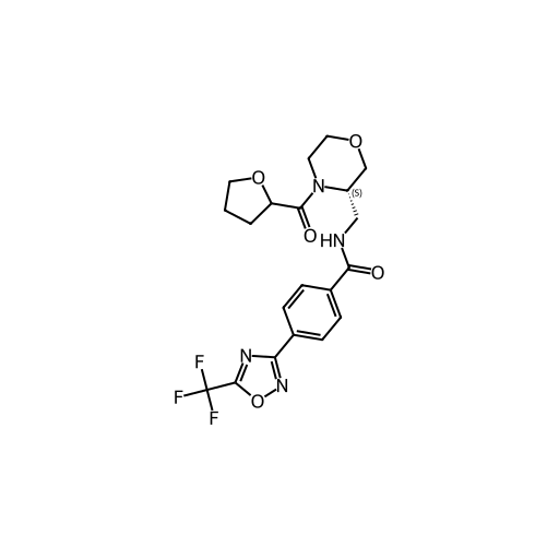 O=C(NC[C@H]1COCCN1C(=O)C1CCCO1)c1ccc(-c2noc(C(F)(F)F)n2)cc1